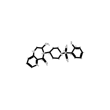 CC1COc2cccnc2C(=O)N1C1CCN(S(=O)(=O)c2ccccc2F)CC1